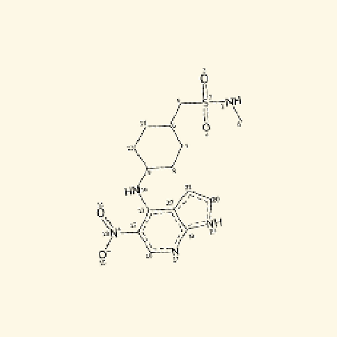 CNS(=O)(=O)CC1CCC(Nc2c([N+](=O)[O-])cnc3[nH]ccc23)CC1